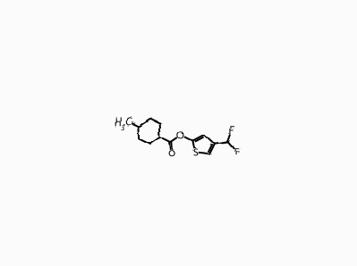 CC1CCC(C(=O)Oc2cc(C(F)F)cs2)CC1